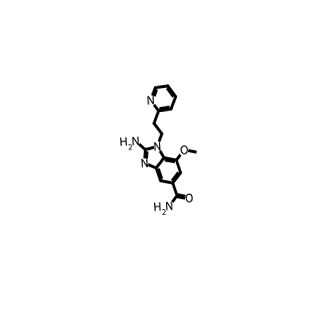 COc1cc(C(N)=O)cc2nc(N)n(CCc3ccccn3)c12